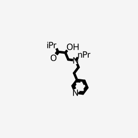 [CH2]CCN(CCc1cccnc1)CC(O)C(=O)C(C)C